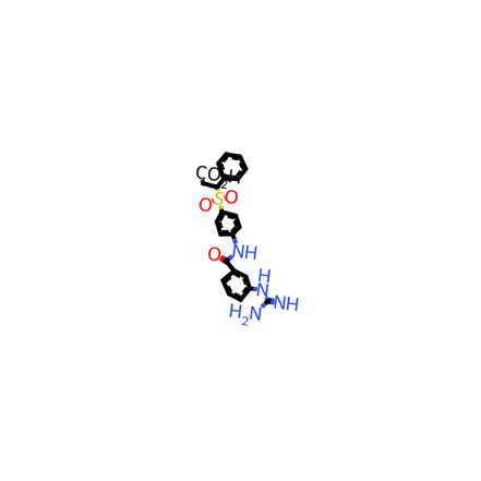 N=C(N)Nc1cccc(C(=O)Nc2ccc(S(=O)(=O)C(CC(=O)O)c3ccccc3)cc2)c1